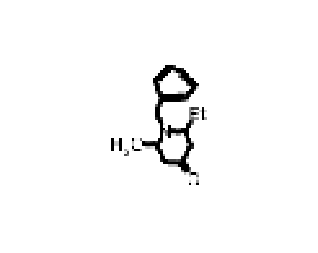 CCC1CC(=O)CC(C)N1Cc1ccccc1